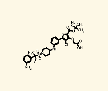 CC(C)(C)OC(=O)c1sc(-c2cccc(NC3CCN(S(=O)(=O)C(C)(C)c4cccc(N)c4)CC3)c2)c(Cl)c1OCC(=O)O